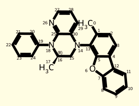 Cc1ccc2c(oc3ccccc32)c1N1C[C@@H](C)N(c2ccccc2)c2ncccc21